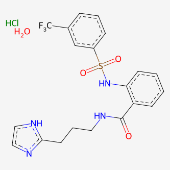 Cl.O.O=C(NCCCc1ncc[nH]1)c1ccccc1NS(=O)(=O)c1cccc(C(F)(F)F)c1